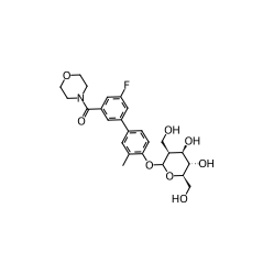 Cc1cc(-c2cc(F)cc(C(=O)N3CCOCC3)c2)ccc1OC1O[C@H](CO)[C@@H](O)[C@H](O)[C@@H]1CO